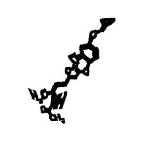 CC(=O)N[C@@H](C)/C=C/c1cc(Oc2ccc(OCC3CC3)cc2Cl)no1